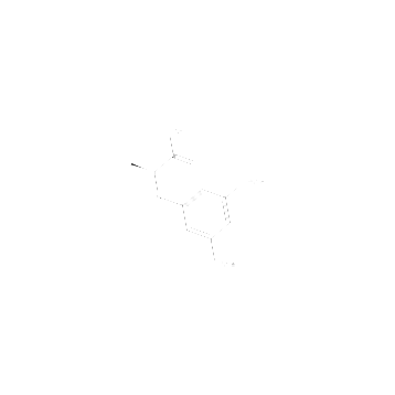 COC(=O)[C@H](C)Nc1cc(OC)cc(OC)c1